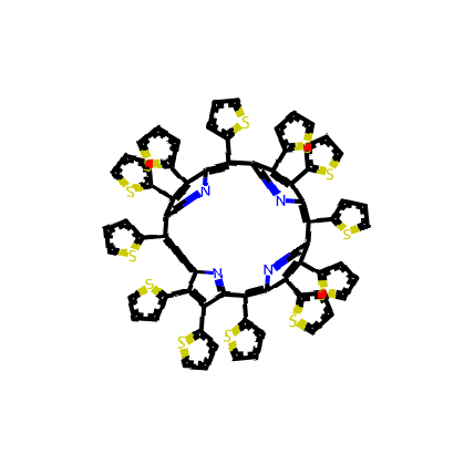 c1csc(C2=C3N=C(C(c4cccs4)=C4N=C(C(c5cccs5)=C5N=C(C(c6cccs6)=C6N=C2C(c2cccs2)=C6c2cccs2)C(c2cccs2)=C5c2cccs2)C(c2cccs2)=C4c2cccs2)C(c2cccs2)=C3c2cccs2)c1